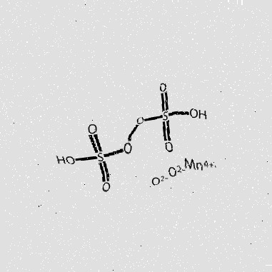 O=S(=O)(O)OOS(=O)(=O)O.[Mn+4].[O-2].[O-2]